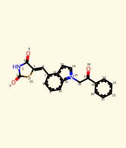 O=C1NC(=O)/C(=C/c2cccc3c2ccn3CC(=O)c2ccccc2)S1